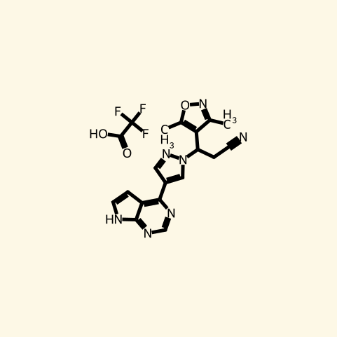 Cc1noc(C)c1C(CC#N)n1cc(-c2ncnc3[nH]ccc23)cn1.O=C(O)C(F)(F)F